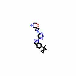 CN1CCOC2(C1)CN(c1cc(-n3ncc4ccc(C5(C)CC56CC6)cc43)ncn1)C2